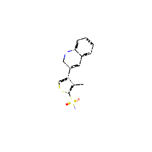 Cc1c(C2=Cc3ccccc3NC2)csc1S(N)(=O)=O